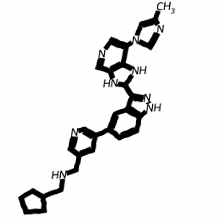 Cc1cn(-c2cncc3c2NC(c2n[nH]c4ccc(-c5cncc(CNCC6CCCC6)c5)cc24)N3)cn1